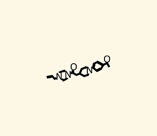 C=CCN1CCN(C(=O)CC2CCN(c3ccc(C(C)=O)cc3)CC2)CC1